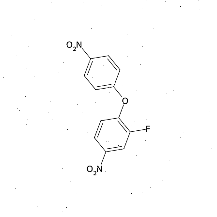 O=[N+]([O-])c1ccc(Oc2ccc([N+](=O)[O-])cc2F)cc1